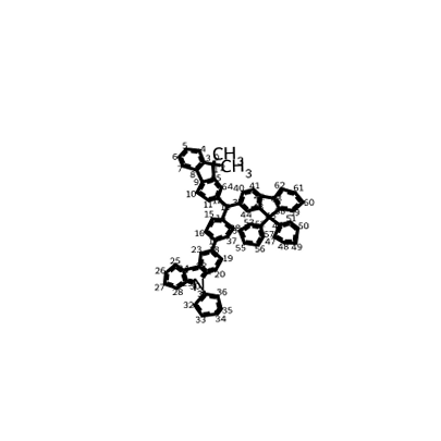 CC1(C)c2ccccc2-c2ccc(C(c3ccc(-c4ccc5c(c4)c4ccccc4n5-c4ccccc4)cc3)c3ccc4c(c3)C(c3ccccc3)(c3ccccc3)c3ccccc3-4)cc21